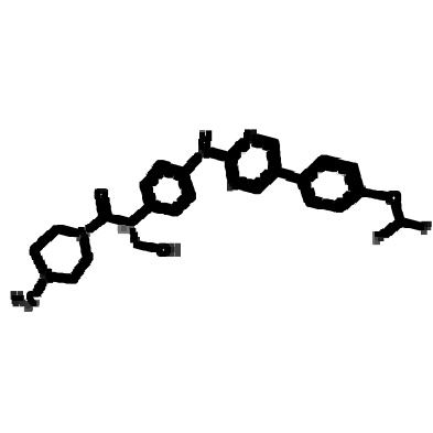 CN1CCN(C(=O)[C@@H](CO)c2ccc(Nc3ncc(-c4ccc(OC(F)F)cc4)cn3)cc2)CC1